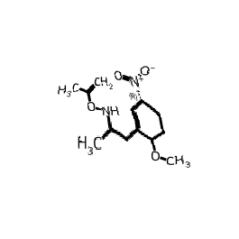 C=C(C)ONC(C)CC1=C[C@H]([N+](=O)[O-])CCC1OC